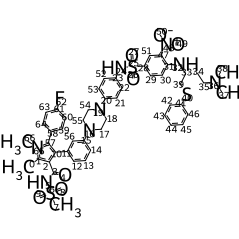 Cc1c(C(=O)NS(C)(=O)=O)c(-c2cccc(N3CCN(c4ccc(NS(=O)(=O)c5ccc(N[C@H](CCN(C)C)CSc6ccccc6)c([N+](=O)[O-])c5)cc4)CC3)c2)c(-c2ccc(F)cc2)n1C